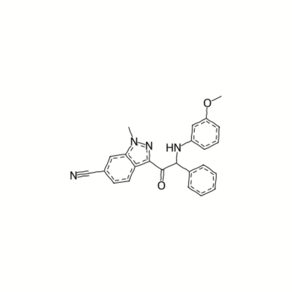 COc1cccc(NC(C(=O)c2nn(C)c3cc(C#N)ccc23)c2ccccc2)c1